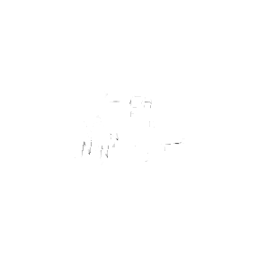 C[C@H]1C[C@H](n2nncc2CO)C1